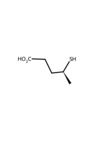 C[C@H](S)CCC(=O)O